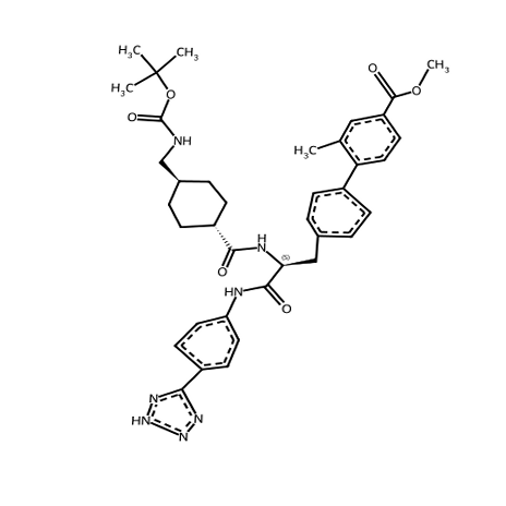 COC(=O)c1ccc(-c2ccc(C[C@H](NC(=O)[C@H]3CC[C@H](CNC(=O)OC(C)(C)C)CC3)C(=O)Nc3ccc(-c4nn[nH]n4)cc3)cc2)c(C)c1